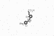 CCc1c(CCCC(=O)O)cccc1-c1noc(-c2ccc(OC(C)C)c(Cl)c2)n1